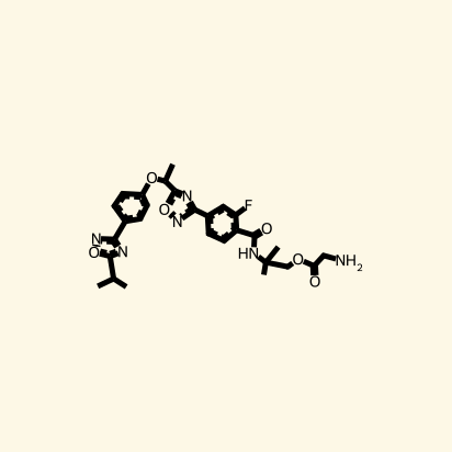 CC(C)c1nc(-c2ccc(OC(C)c3nc(-c4ccc(C(=O)NC(C)(C)COC(=O)CN)c(F)c4)no3)cc2)no1